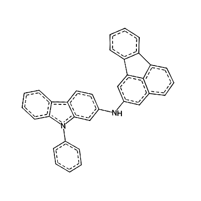 c1ccc(-n2c3ccccc3c3ccc(Nc4cc5c6c(cccc6c4)-c4ccccc4-5)cc32)cc1